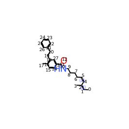 C/C=C(C)\C=C/CCCCNC(=O)c1ccc(C)c(CCc2ccccc2)c1